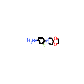 Nc1ccc(N2CCC3(CC2)OCCO3)c(F)c1